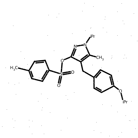 Cc1ccc(S(=O)(=O)Oc2nn(C(C)C)c(C)c2Cc2ccc(OC(C)C)cc2)cc1